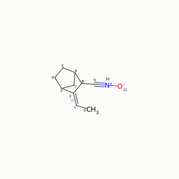 C/C=C1/C2CCC(C2)C1C#[N+][O-]